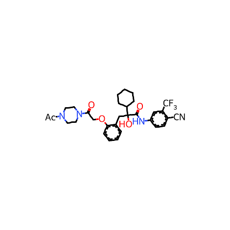 CC(=O)N1CCN(C(=O)COc2ccccc2CC(O)(C(=O)Nc2ccc(C#N)c(C(F)(F)F)c2)C2CCCCC2)CC1